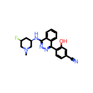 CN1C[C@@H](F)C[C@@H](Nc2nnc(-c3ccc(C#N)cc3O)c3ccccc23)C1